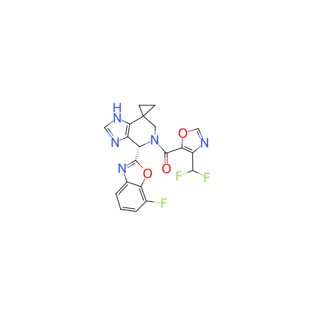 O=C(c1ocnc1C(F)F)N1CC2(CC2)c2[nH]cnc2[C@H]1c1nc2cccc(F)c2o1